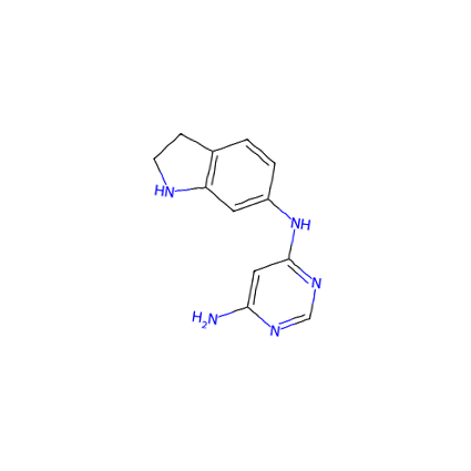 Nc1cc(Nc2ccc3c(c2)NCC3)ncn1